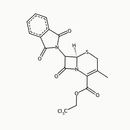 CC1=C(C(=O)OCC(Cl)(Cl)Cl)N2C(=O)C(N3C(=O)c4ccccc4C3=O)[C@H]2SC1